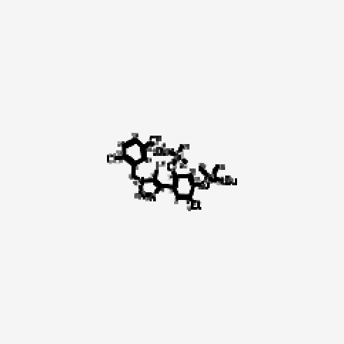 CCc1cc(-c2nnn(Cc3cc(C(F)(F)F)ccc3Cl)c2I)c(O[Si](C)(C)C(C)(C)C)cc1O[Si](C)(C)C(C)(C)C